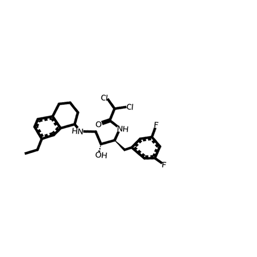 CCc1ccc2c(c1)C(NC[C@@H](O)[C@H](Cc1cc(F)cc(F)c1)NC(=O)C(Cl)Cl)CCC2